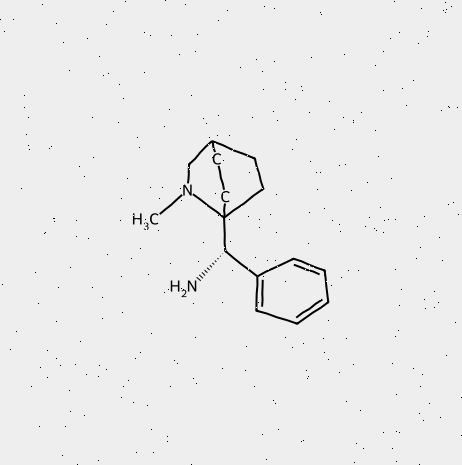 CN1CC2CCC1([C@@H](N)c1ccccc1)CC2